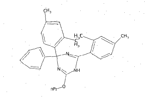 CCCOC1=NC(c2ccccc2)(c2ccc(C)cc2C)N=C(c2ccc(C)cc2C)N1